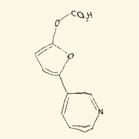 O=C(O)Oc1ccc(-c2cccnc2)o1